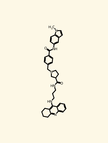 Cn1ccc2cc(NC(=O)c3ccc(CN4CCC(C(=O)NCCCNc5c6c(nc7ccccc57)CCCC6)C4)cc3)ccc21